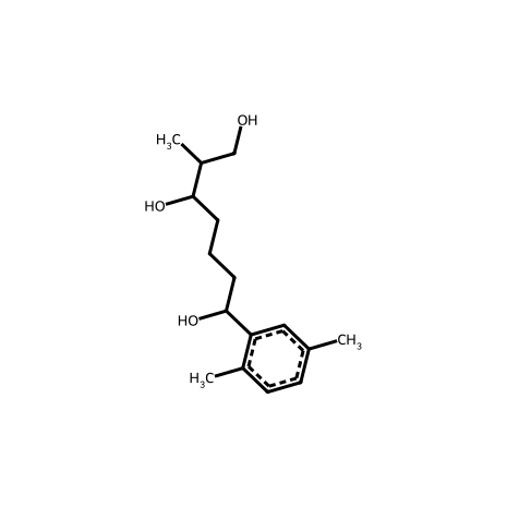 Cc1ccc(C)c(C(O)CCCC(O)C(C)CO)c1